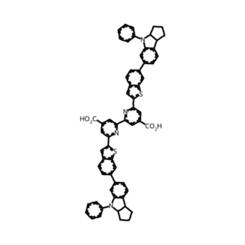 O=C(O)c1cc(-c2cc(C(=O)O)cc(-c3cc4ccc(-c5ccc6c(c5)N(c5ccccc5)C5CCCC65)cc4s3)n2)nc(-c2cc3ccc(-c4ccc5c(c4)N(c4ccccc4)C4CCCC54)cc3s2)c1